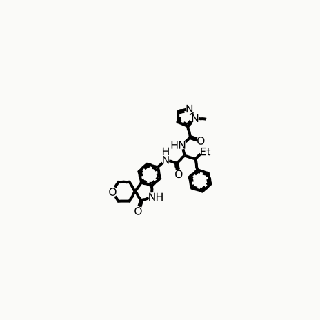 CCC(c1ccccc1)C(NC(=O)c1ccnn1C)C(=O)Nc1ccc2c(c1)NC(=O)C21CCOCC1